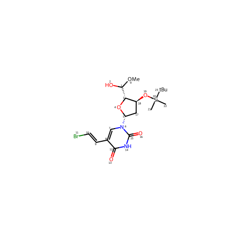 COC(O)[C@H]1O[C@@H](n2cc(C=CBr)c(=O)[nH]c2=O)C[C@@H]1O[Si](C)(C)C(C)(C)C